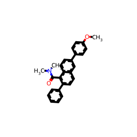 COc1ccc(-c2ccc3c(C(=O)N(C)C)c(-c4ccccc4)ccc3c2)cc1